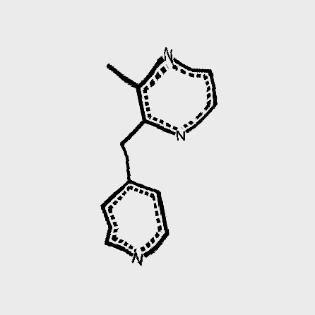 Cc1nccnc1Cc1ccncc1